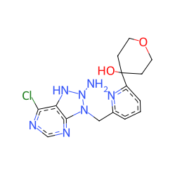 NN1Nc2c(Cl)ncnc2N1Cc1cccc(C2(O)CCOCC2)n1